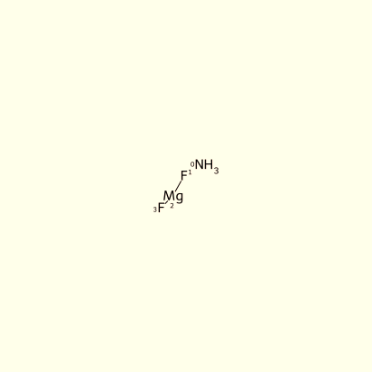 N.[F][Mg][F]